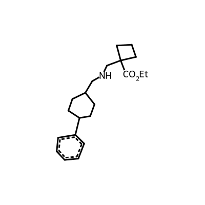 CCOC(=O)C1(CNCC2CCC(c3ccccc3)CC2)CCC1